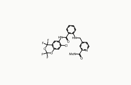 CNC(=O)c1cc(CNc2ccccc2C(=O)Nc2cc3c(cc2Cl)OC(F)(F)OC3(F)F)ccn1